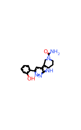 NC(=O)N1CCc2[nH]c3nnc(-c4ccccc4O)cc3c2C1